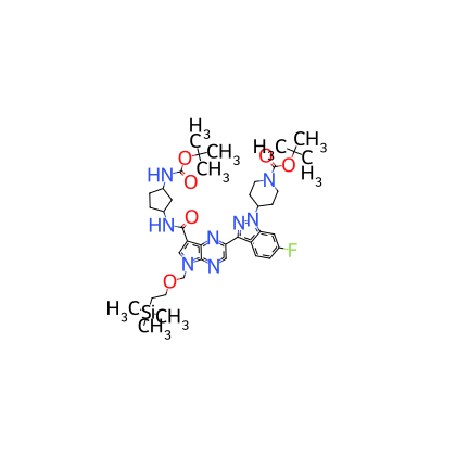 CC(C)(C)OC(=O)NC1CCC(NC(=O)c2cn(COCC[Si](C)(C)C)c3ncc(-c4nn(C5CCN(C(=O)OC(C)(C)C)CC5)c5cc(F)ccc45)nc23)C1